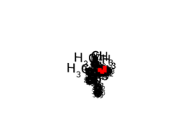 Cc1cc2c3c(c1)N(c1ccc(C(C)(C)C)cc1-c1ccccc1)c1cc4c(cc1B3c1oc(C3=Cc5ccccc5CC3)c3cccc-2c13)sc1ccccc14